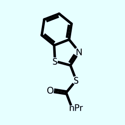 CCCC(=O)Sc1nc2ccccc2s1